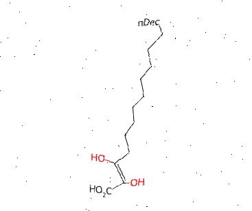 CCCCCCCCCCCCCCCCCCCC(O)=C(O)C(=O)O